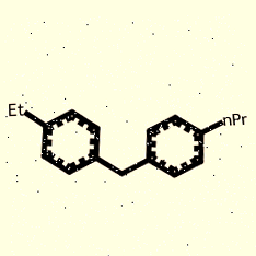 CCCc1ccc(Cc2ccc(CC)cc2)cc1